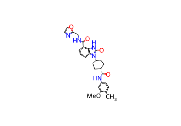 COc1cc(NC(=O)[C@H]2CC[C@@H](n3c(=O)[nH]c4c(C(=O)NCc5ncco5)cccc43)CC2)ccc1C